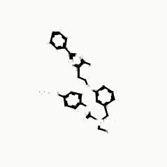 COc1ccc(OC(=O)N(CC(=O)O)[C@@H](C)c2cccc(OCCc3nc(-c4ccccc4)oc3C)c2)cc1